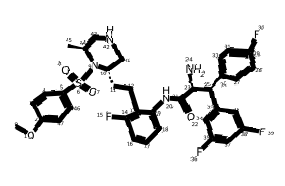 COc1ccc(S(=O)(=O)N2[C@@H](CCc3c(F)cccc3NC(=O)[C@@H](N)[C@@H](c3ccc(F)cc3)c3cc(F)cc(F)c3)CNC[C@@H]2C)cc1